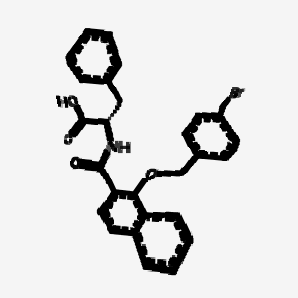 O=C(N[C@@H](Cc1ccccc1)C(=O)O)c1ccc2ccccc2c1OCc1ccc(Br)cc1